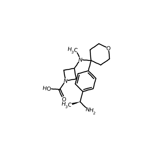 C[C@H](N)c1ccc(C2(N(C)C3CN(C(=O)O)C3)CCOCC2)cc1